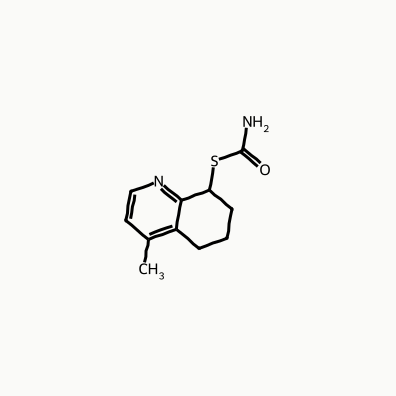 Cc1ccnc2c1CCCC2SC(N)=O